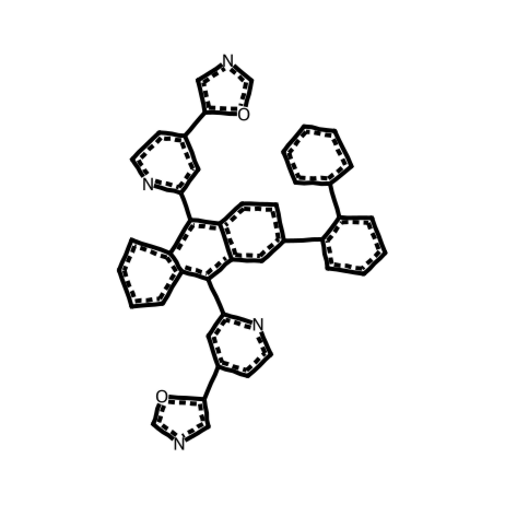 c1ccc(-c2ccccc2-c2ccc3c(-c4cc(-c5cnco5)ccn4)c4ccccc4c(-c4cc(-c5cnco5)ccn4)c3c2)cc1